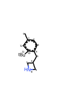 Cc1ccc(CC2CNC2)c(C(C)(C)C)c1